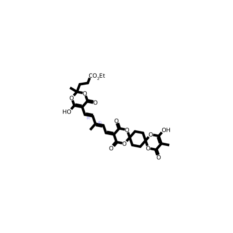 CCOC(=O)CCC1(C)OC(=O)C(/C=C/C(C)=C/C=C2C(=O)OC3(CCC4(CC3)OC(=O)C(C)=C(O)O4)OC2=O)=C(O)O1